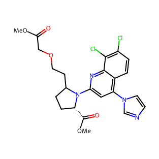 COC(=O)COCCC1CC[C@@H](C(=O)OC)N1c1cc(-n2ccnc2)c2ccc(Cl)c(Cl)c2n1